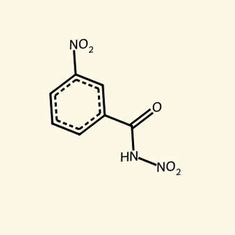 O=C(N[N+](=O)[O-])c1cccc([N+](=O)[O-])c1